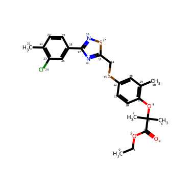 CCOC(=O)C(C)(C)Oc1ccc(SCc2nc(-c3ccc(C)c(Cl)c3)ns2)cc1C